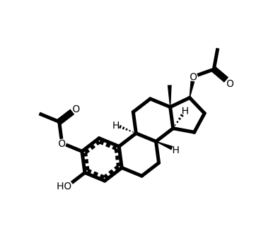 CC(=O)Oc1cc2c(cc1O)CC[C@@H]1[C@@H]2CC[C@]2(C)[C@@H](OC(C)=O)CC[C@@H]12